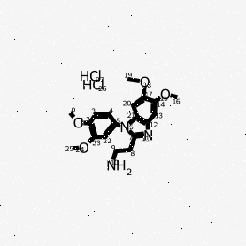 COc1ccc(-n2c(CCN)nc3cc(OC)c(OC)cc32)cc1OC.Cl.Cl